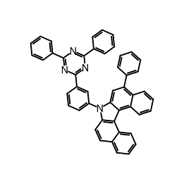 c1ccc(-c2nc(-c3ccccc3)nc(-c3cccc(-n4c5ccc6ccccc6c5c5c6ccccc6c(-c6ccccc6)cc54)c3)n2)cc1